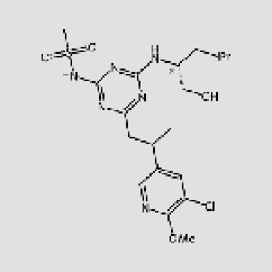 COc1ncc(C(C)Cc2nc(N[C@@H](CO)CC(C)C)nc(NS(C)(=O)=O)n2)cc1Cl